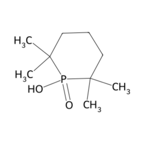 CC1(C)CCCC(C)(C)P1(=O)O